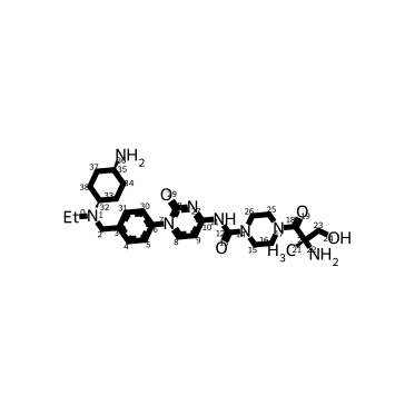 CCN(Cc1ccc(-n2ccc(NC(=O)N3CCN(C(=O)[C@@](C)(N)CO)CC3)nc2=O)cc1)[C@H]1CC[C@H](N)CC1